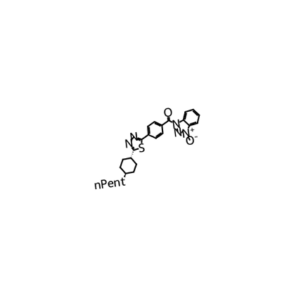 CCCCC[C@H]1CC[C@H](c2nnc(-c3ccc(C(=O)n4n[n+]([O-])c5ccccc54)cc3)s2)CC1